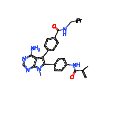 C=C(C)C(=O)Nc1ccc(-c2c(-c3ccc(C(=O)NCC(C)C)cc3)c3c(N)ncnc3n2C)cc1